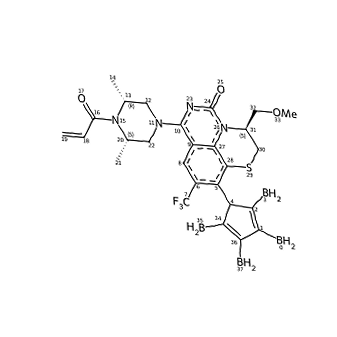 BC1=C(B)C(c2c(C(F)(F)F)cc3c(N4C[C@@H](C)N(C(=O)C=C)[C@@H](C)C4)nc(=O)n4c3c2SC[C@@H]4COC)C(B)=C1B